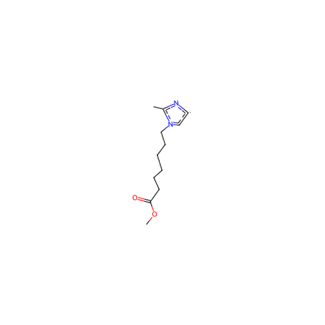 COC(=O)CCCCCCn1c[c]nc1C